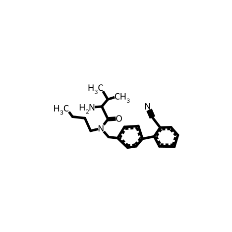 CCCCN(Cc1ccc(-c2ccccc2C#N)cc1)C(=O)C(N)C(C)C